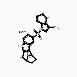 Cc1cn(S(=O)(=O)c2ccc3oc4c(c3c2)C2CCC(C4)N2)c2ccccc12.Cl